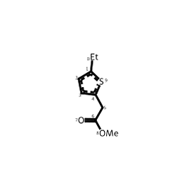 CCc1ccc(CC(=O)OC)s1